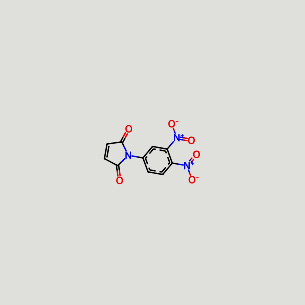 O=C1C=CC(=O)N1c1ccc([N+](=O)[O-])c([N+](=O)[O-])c1